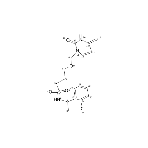 CC(NS(=O)(=O)CCCOCn1ccc(=O)[nH]c1=O)c1ccccc1Cl